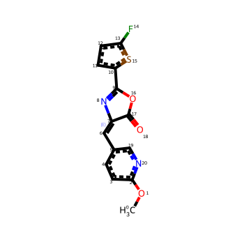 COc1ccc(/C=C2/N=C(c3ccc(F)s3)OC2=O)cn1